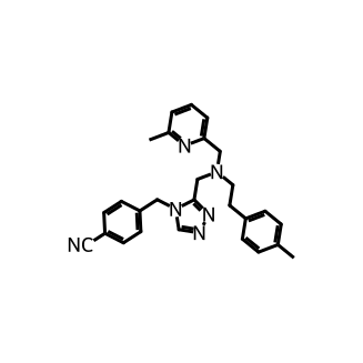 Cc1ccc(CCN(Cc2cccc(C)n2)Cc2nncn2Cc2ccc(C#N)cc2)cc1